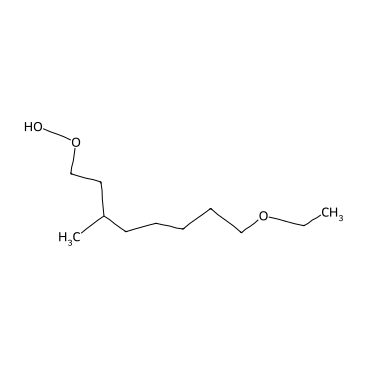 CCOCCCCCC(C)CCOO